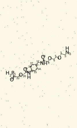 CNCCOCCOCC(=O)NCc1ccc(NC(=O)COCC(=O)P)cc1